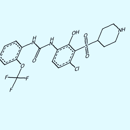 O=C(Nc1ccccc1OC(F)(F)F)Nc1ccc(Cl)c(S(=O)(=O)C2CCNCC2)c1O